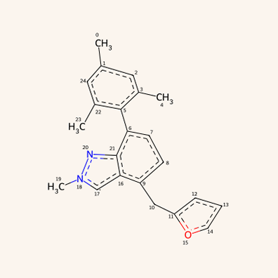 Cc1cc(C)c(-c2ccc(Cc3ccco3)c3[c]n(C)nc23)c(C)c1